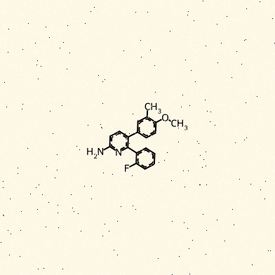 COc1ccc(-c2ccc(N)nc2-c2ccccc2F)cc1C